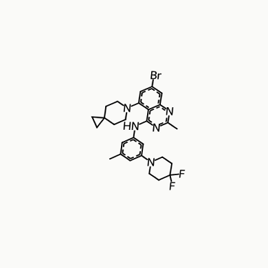 Cc1cc(Nc2nc(C)nc3cc(Br)cc(N4CCC5(CC4)CC5)c23)cc(N2CCC(F)(F)CC2)c1